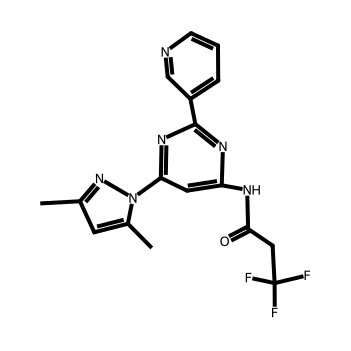 Cc1cc(C)n(-c2cc(NC(=O)CC(F)(F)F)nc(-c3cccnc3)n2)n1